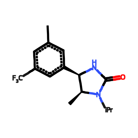 Cc1cc([C@H]2NC(=O)N(C(C)C)[C@H]2C)cc(C(F)(F)F)c1